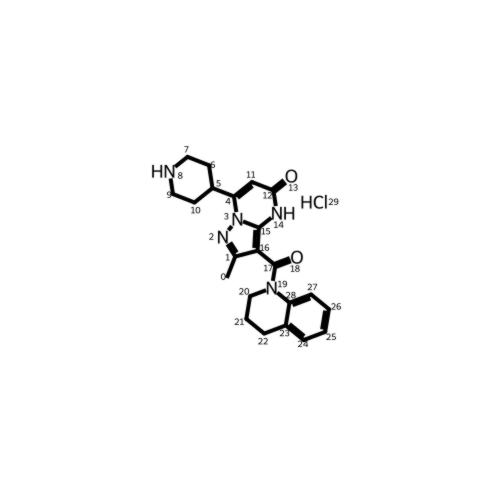 Cc1nn2c(C3CCNCC3)cc(=O)[nH]c2c1C(=O)N1CCCc2ccccc21.Cl